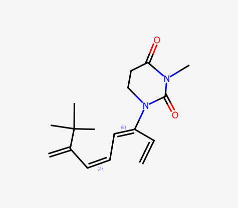 C=C/C(=C\C=C/C(=C)C(C)(C)C)N1CCC(=O)N(C)C1=O